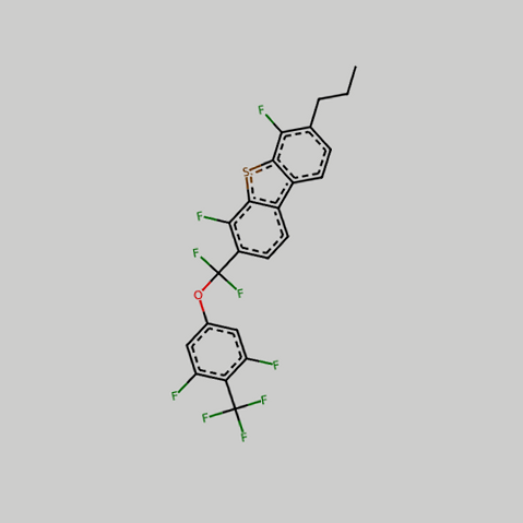 CCCc1ccc2c(sc3c(F)c(C(F)(F)Oc4cc(F)c(C(F)(F)F)c(F)c4)ccc32)c1F